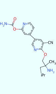 CC(C)CC(C)(N)COc1ncc(-c2ccnc(OC(N)=O)c2)cc1C#N